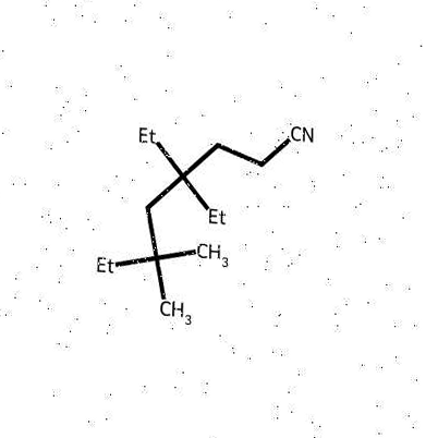 CCC(C)(C)CC(CC)(CC)CCC#N